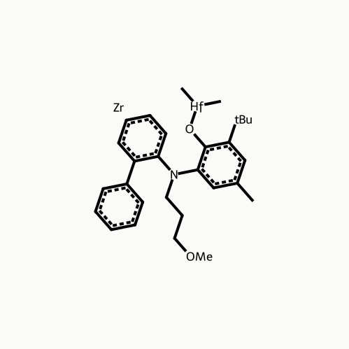 COCCCN(c1ccccc1-c1ccccc1)c1cc(C)cc(C(C)(C)C)c1[O][Hf]([CH3])[CH3].[Zr]